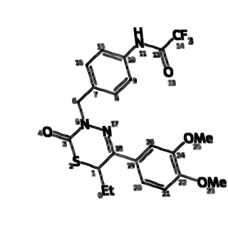 CCC1SC(=O)N(Cc2ccc(NC(=O)C(F)(F)F)cc2)N=C1c1ccc(OC)c(OC)c1